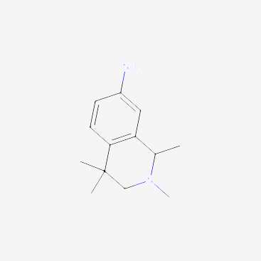 CC1c2cc(N)ccc2C(C)(C)CN1C